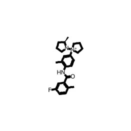 Cc1cc([N+]2(N3CCC[C@H]3C)CCCC2)ccc1NC(=O)c1cc(F)ccc1C